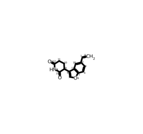 C=Cc1ccc2occ(C3CCC(=O)NC3=O)c2c1